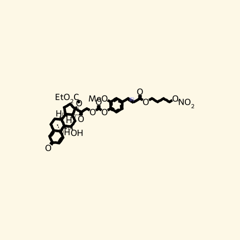 CCOC(=O)O[C@]1(C(=O)COC(=O)Oc2ccc(/C=C/C(=O)OCCCCO[N+](=O)[O-])cc2OC)CC[C@H]2[C@@H]3CCC4=CC(=O)C=C[C@]4(C)[C@H]3[C@@H](O)C[C@@]21C